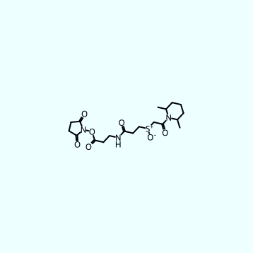 CC1CCCC(C)N1C(=O)C[S+]([O-])CCC(=O)NCCC(=O)ON1C(=O)CCC1=O